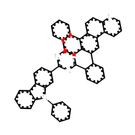 c1ccc(-c2nc(-c3ccc4c5ccccc5n(-c5ccccc5)c4c3)nc(-c3ccccc3-c3cc4c5cccnc5ccc4c4ccccc34)n2)cc1